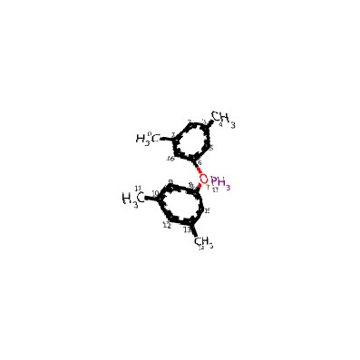 Cc1cc(C)cc(Oc2cc(C)cc(C)c2)c1.P